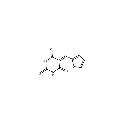 O=C1NC(=S)NC(=O)C1=Cc1ccco1